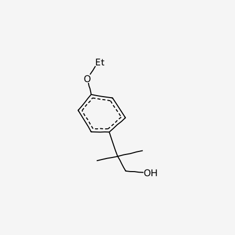 CCOc1ccc(C(C)(C)CO)cc1